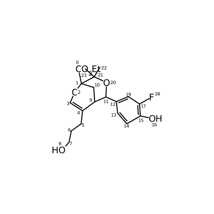 CCOC(=O)C12CC=C(CCCO)C(C1)C(c1ccc(O)c(F)c1)OC2(C)C